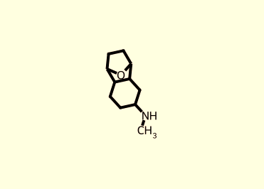 CNC1CCC2C3CCC(O3)C2C1